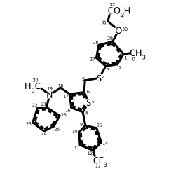 Cc1cc(SCc2sc(-c3ccc(C(F)(F)F)cc3)cc2CN(C)c2ccccc2)ccc1OCC(=O)O